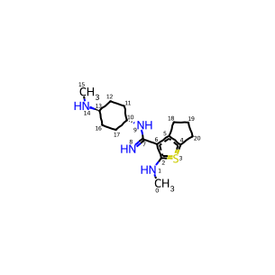 CNc1sc2c(c1C(=N)N[C@H]1CC[C@H](NC)CC1)CCC2